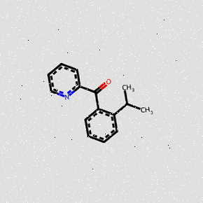 CC(C)c1ccccc1C(=O)c1ccccn1